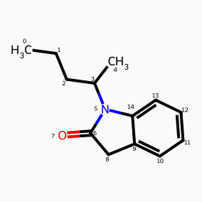 CCCC(C)N1C(=O)Cc2ccccc21